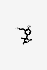 Cc1nn(C)c(-c2ccc(O)c(CCN)c2)c1C